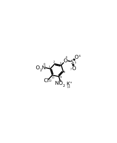 O=[N+]([O-])c1cc(O[S-](=O)=O)cc([N+](=O)[O-])c1Cl.[K+]